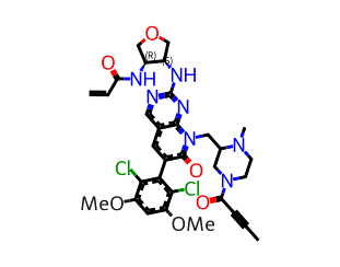 C=CC(=O)N[C@H]1COC[C@H]1Nc1ncc2cc(-c3c(Cl)c(OC)cc(OC)c3Cl)c(=O)n(CC3CN(C(=O)C#CC)CCN3C)c2n1